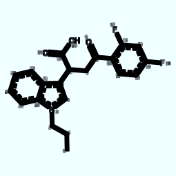 CCCn1cc(C(CC(=O)c2ccc(F)cc2F)C(=O)O)c2ccccc21